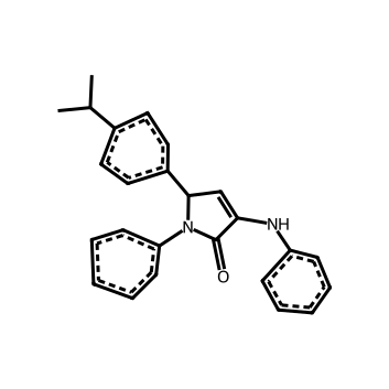 CC(C)c1ccc(C2C=C(Nc3ccccc3)C(=O)N2c2ccccc2)cc1